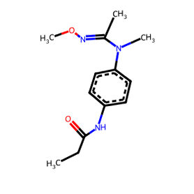 CCC(=O)Nc1ccc(N(C)C(C)=NOC)cc1